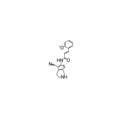 COc1ccccc1C=CC(=O)Nc1sc2c(c1C#N)CCNC2